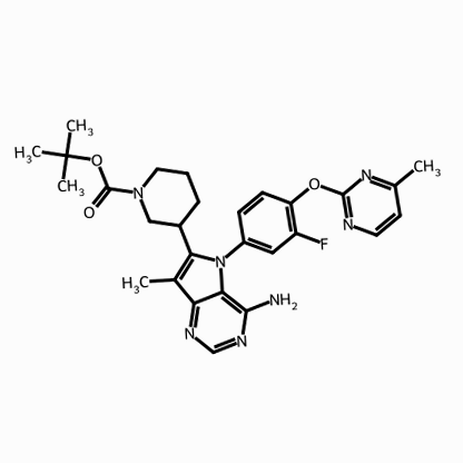 Cc1ccnc(Oc2ccc(-n3c(C4CCCN(C(=O)OC(C)(C)C)C4)c(C)c4ncnc(N)c43)cc2F)n1